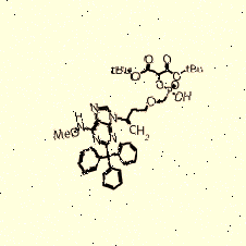 C=C(CCOCP(=O)(O)OC(C(=O)OC(C)(C)C)C(=O)OC(C)(C)C)n1cnc2c(NOC)nc(C(c3ccccc3)(c3ccccc3)c3ccccc3)nc21